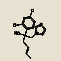 CC=CCC(O)(Cn1ccnc1)c1ccc(Cl)cc1Cl